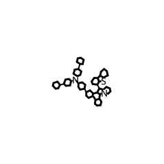 c1ccc(-c2ccc(N(c3ccc(-c4ccccc4)cc3)c3ccc(-c4ccc5c6ccccc6c6c(c(-c7cccc8c7sc7ccccc78)c7ccccn76)c5c4)cc3)cc2)cc1